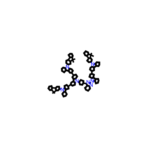 CC1(C)c2ccccc2-c2ccc(-n3c4ccccc4c4cc(-c5ccc6c(c5)c5cc(-c7ccc8c(c7)c7ccccc7n8-c7ccc8c(c7)C(C)(C)c7ccccc7-8)ccc5n6-c5ccc(-c6nc(-n7c8ccccc8c8cc(-c9ccc%10c(c9)c9ccccc9n%10-c9ccc%10c(c9)C(C)(C)c9ccccc9-%10)ccc87)nc7ccccc67)cc5)ccc43)cc21